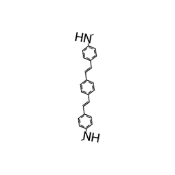 CNc1ccc(C=Cc2ccc(C=Cc3ccc(NC)cc3)cc2)cc1